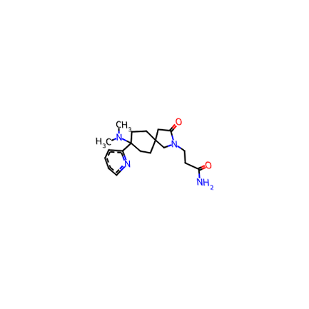 CN(C)C1(c2ccccn2)CCC2(CC1)CC(=O)N(CCC(N)=O)C2